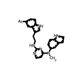 CC(=O)c1ccc2[nH]cc(CCNc3nccc(N(C)c4ccc5[nH]ccc5c4)n3)c2c1